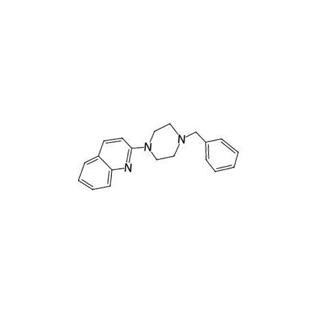 c1ccc(CN2CCN(c3ccc4ccccc4n3)CC2)cc1